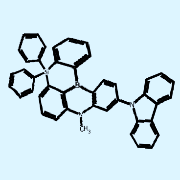 CN1c2cc(-n3c4ccccc4c4ccccc43)ccc2B2c3ccccc3[Si](c3ccccc3)(c3ccccc3)c3cccc1c32